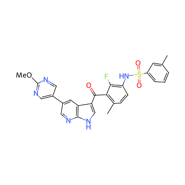 COc1ncc(-c2cnc3[nH]cc(C(=O)c4c(C)ccc(NS(=O)(=O)c5cccc(C)c5)c4F)c3c2)cn1